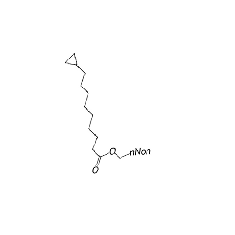 CCCCCCCCCCOC(=O)CCCCCCCCC1CC1